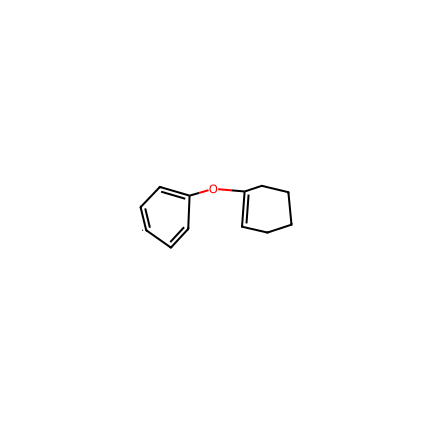 [c]1ccc(OC2=CCCCC2)cc1